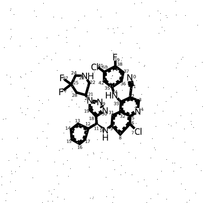 N#Cc1cnc2c(Cl)cc(N[C@@H](c3ccccc3)c3cn(C4CNCC(F)(F)C4)nn3)cc2c1Nc1ccc(F)c(Cl)c1